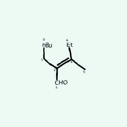 CCCCC/C(C=O)=C(/C)CC